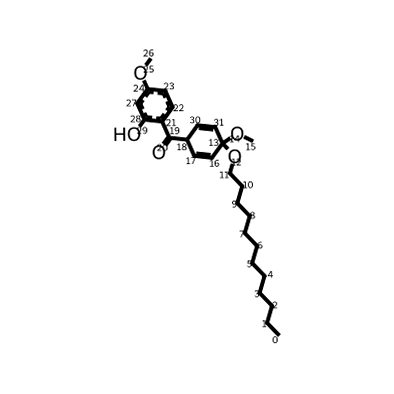 CCCCCCCCCCCCOC1(OC)C=CC(C(=O)c2ccc(OC)cc2O)C=C1